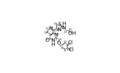 O=c1[nH]c(COc2ccc(Cl)c(Cl)c2)nc2c(-c3csc(NCCO)n3)nccc12